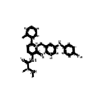 CN[C@@H](C)C(=O)Nc1ccc(-c2ccccc2C)n(Cc2cncc(Oc3ccc(F)cc3)c2)c1=O